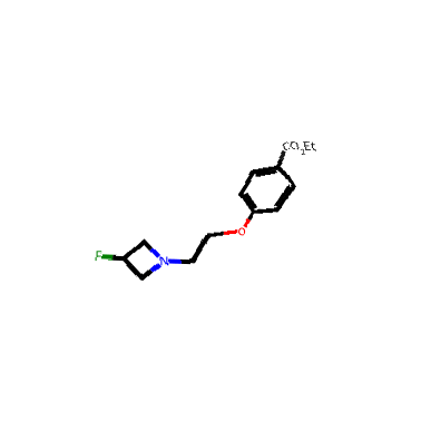 CCOC(=O)c1ccc(OCCN2CC(F)C2)cc1